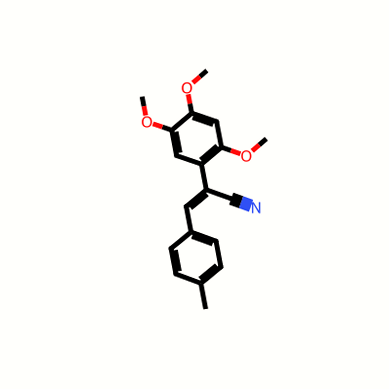 COc1cc(OC)c(C(C#N)=Cc2ccc(C)cc2)cc1OC